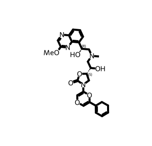 COc1cnc2cccc([C@@H](O)CN(C)CC(O)[C@@H]3CN(C4=COC=C(C5=CC=CCC5)O4)C(=O)O3)c2n1